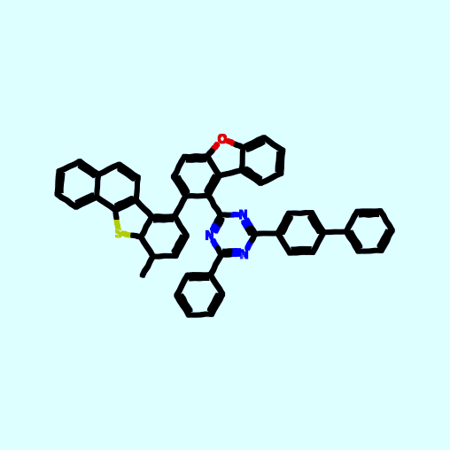 CC1C=CC(c2ccc3oc4ccccc4c3c2-c2nc(-c3ccccc3)nc(-c3ccc(-c4ccccc4)cc3)n2)=C2c3ccc4ccccc4c3SC21